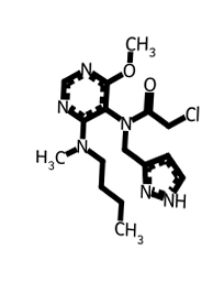 CCCCN(C)c1ncnc(OC)c1N(Cc1cc[nH]n1)C(=O)CCl